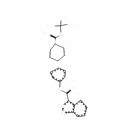 CC(C)(NC(=O)[C@H]1CC[C@H](c2ccc(NC(=O)c3n[nH]c4ccccc34)cc2)CC1)C(=O)O